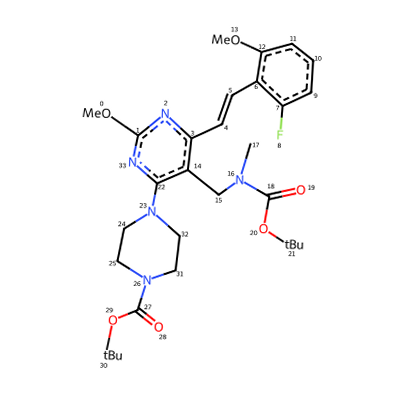 COc1nc(/C=C/c2c(F)cccc2OC)c(CN(C)C(=O)OC(C)(C)C)c(N2CCN(C(=O)OC(C)(C)C)CC2)n1